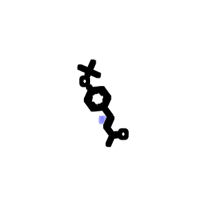 CC(=O)/C=C/c1ccc(OC(C)(C)C)cc1